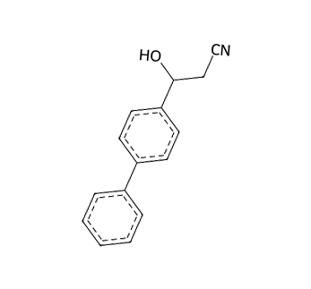 N#CCC(O)c1ccc(-c2ccccc2)cc1